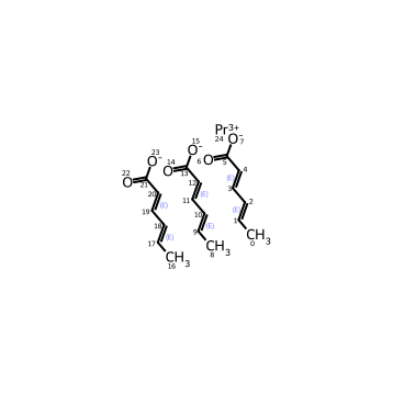 C/C=C/C=C/C(=O)[O-].C/C=C/C=C/C(=O)[O-].C/C=C/C=C/C(=O)[O-].[Pr+3]